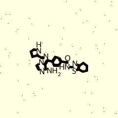 Nc1nccn2c(C3CCCN3)nc(-c3ccc(C(=O)Nc4nc5c(s4)CCCC5)cc3)c12